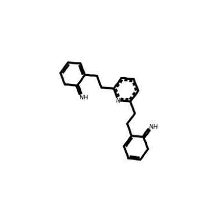 N=C1CC=CC=C1CCc1cccc(CCC2=CC=CCC2=N)n1